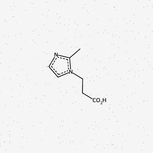 Cc1n[c]cn1CCC(=O)O